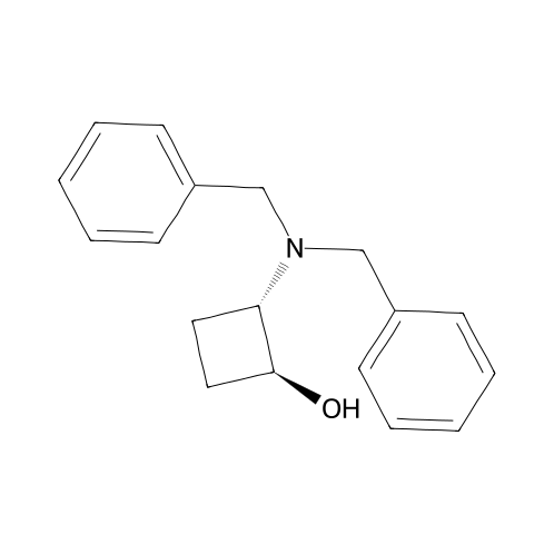 O[C@H]1CC[C@@H]1N(Cc1ccccc1)Cc1ccccc1